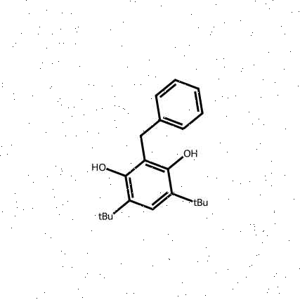 CC(C)(C)c1cc(C(C)(C)C)c(O)c(Cc2ccccc2)c1O